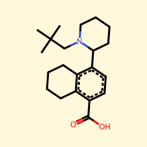 CC(C)(C)CN1CCCCC1c1ccc(C(=O)O)c2c1CCCC2